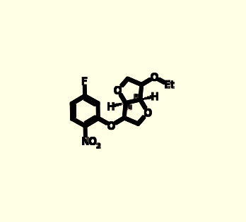 CCOC1CO[C@@H]2C(Oc3cc(F)ccc3[N+](=O)[O-])CO[C@H]12